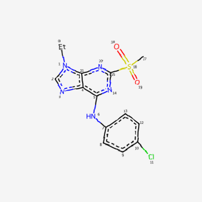 CCn1cnc2c(Nc3ccc(Cl)cc3)nc(S(C)(=O)=O)nc21